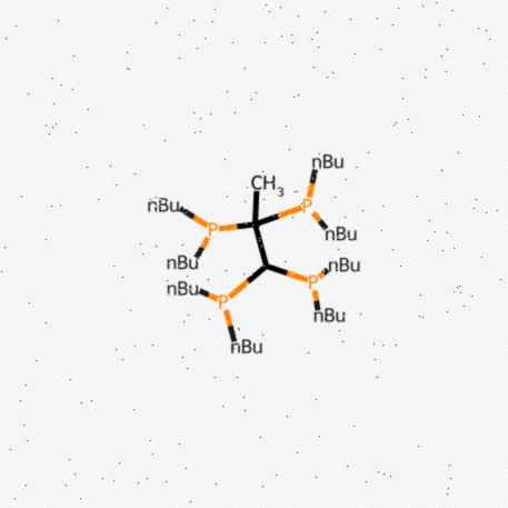 CCCCP(CCCC)C(P(CCCC)CCCC)C(C)(P(CCCC)CCCC)P(CCCC)CCCC